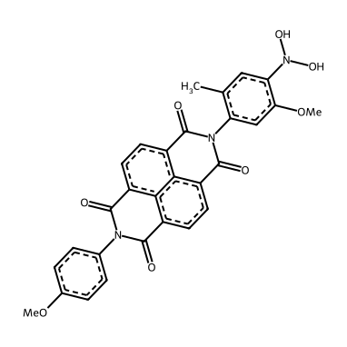 COc1ccc(N2C(=O)c3ccc4c5c(ccc(c35)C2=O)C(=O)N(c2cc(OC)c(N(O)O)cc2C)C4=O)cc1